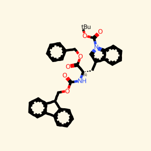 CC(C)(C)OC(=O)n1cc(C[C@H](NC(=O)OCC2c3ccccc3-c3ccccc32)C(=O)OCc2ccccc2)c2ccccc21